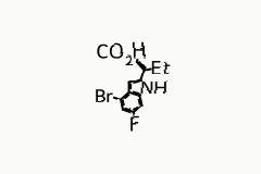 CCC(=CC(=O)O)c1cc2c(Br)cc(F)cc2[nH]1